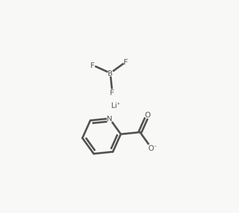 FB(F)F.O=C([O-])c1ccccn1.[Li+]